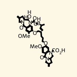 C=CC(C)BOC(=O)N1c2cc(OCCCCCOc3cc4c(cc3OC)C(=O)N3CC(=C)CC3CN4C(=O)O)c(OC)cc2C(=O)N2CC(=C)C[C@@H]2[C@H]1O